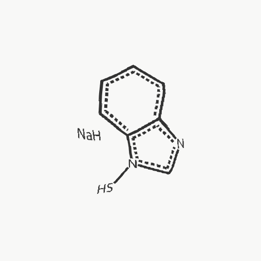 Sn1cnc2ccccc21.[NaH]